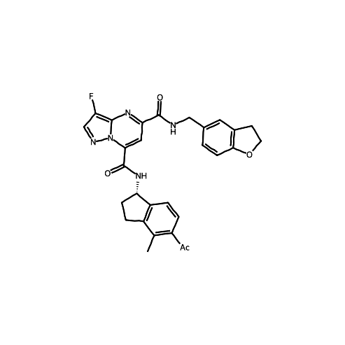 CC(=O)c1ccc2c(c1C)CC[C@@H]2NC(=O)c1cc(C(=O)NCc2ccc3c(c2)CCO3)nc2c(F)cnn12